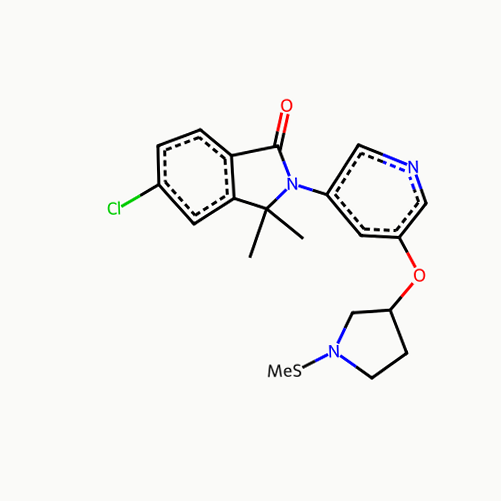 CSN1CCC(Oc2cncc(N3C(=O)c4ccc(Cl)cc4C3(C)C)c2)C1